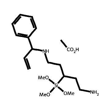 C=CC(NCCC(CCN)[Si](OC)(OC)OC)c1ccccc1.CC(=O)O